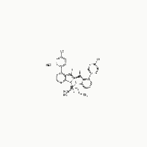 CCc1ccc(-c2cccc3c2C(C)=C(C(C)(C)C)[CH]3[Zr]([CH3])(=[SiH2])([CH2]CC(F)(F)F)[CH]2C(C(C)(C)C)=C(C)c3c(-c4ccc(CC)cc4)cccc32)cc1.Cl.Cl